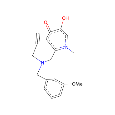 C#CCN(Cc1cccc(OC)c1)Cc1cc(=O)c(O)cn1C